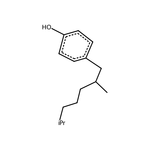 CC(C)CCCC(C)Cc1ccc(O)cc1